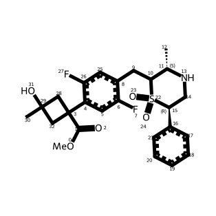 COC(=O)C1(c2cc(F)c(CC3[C@H](C)NC[C@@H](c4ccccc4)S3(=O)=O)cc2F)CC(C)(O)C1